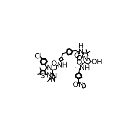 Cc1sc2c(c1C)C(c1ccc(Cl)cc1)=N[C@@H](CC(=O)N[C@H]1C[C@H](Cc3ccc(CC(=O)N[C@H](C(=O)N4C[C@H](O)C[C@H]4C(=O)N[C@@H](C)c4ccc(C(=O)N5CCC5)cc4)C(C)(C)C)cc3)C1)c1nnc(C)n1-2